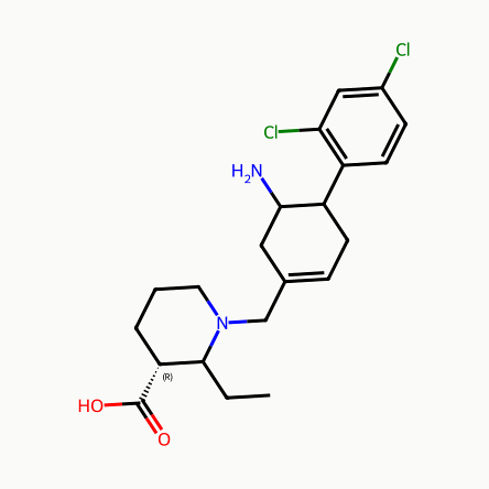 CCC1[C@H](C(=O)O)CCCN1CC1=CCC(c2ccc(Cl)cc2Cl)C(N)C1